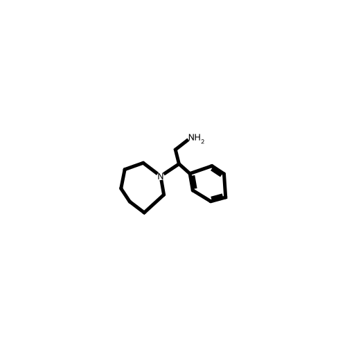 NCC(c1ccccc1)N1CCCCCC1